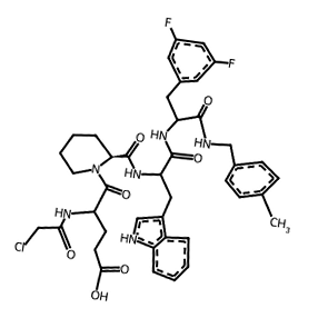 Cc1ccc(CNC(=O)C(Cc2cc(F)cc(F)c2)NC(=O)C(Cc2c[nH]c3ccccc23)NC(=O)[C@@H]2CCCCN2C(=O)C(CCC(=O)O)NC(=O)CCl)cc1